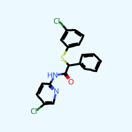 O=C(Nc1ccc(Cl)cn1)C(Sc1cccc(Cl)c1)c1ccccc1